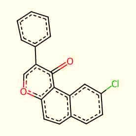 O=c1c(-c2ccccc2)coc2ccc3ccc(Cl)cc3c12